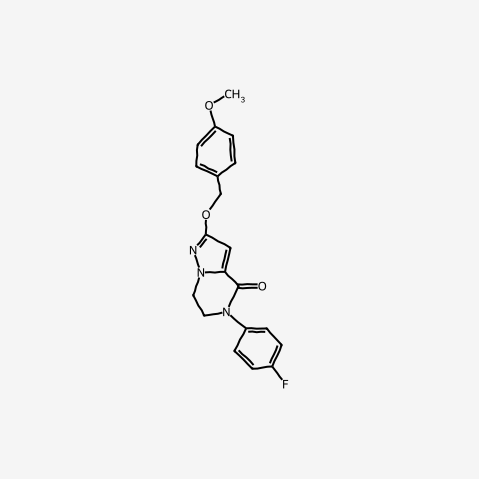 COc1ccc(COc2cc3n(n2)CCN(c2ccc(F)cc2)C3=O)cc1